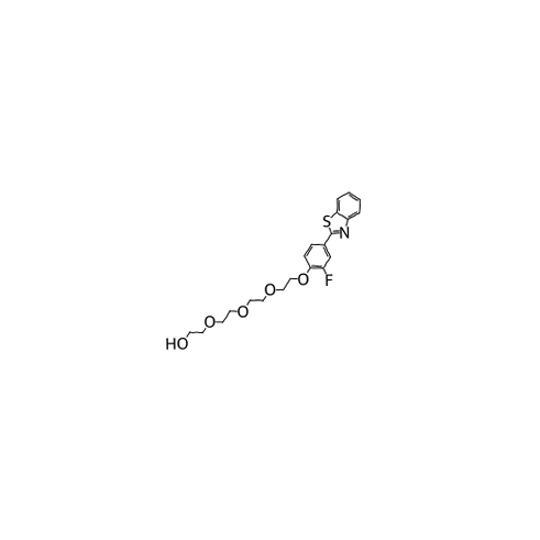 OCCOCCOCCOCCOc1ccc(-c2nc3ccccc3s2)cc1F